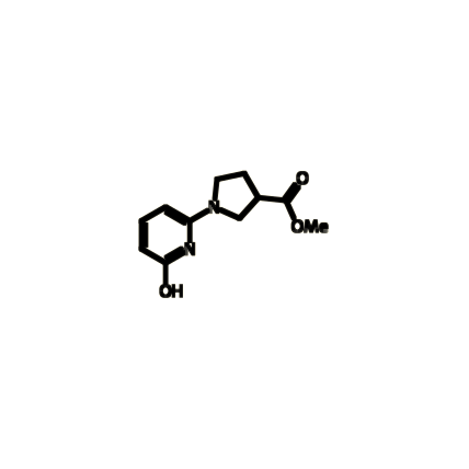 COC(=O)C1CCN(c2cccc(O)n2)C1